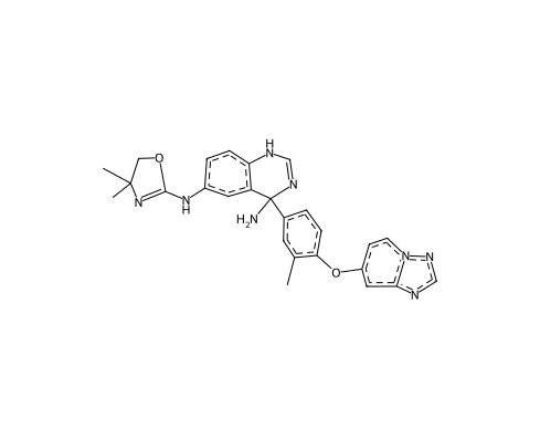 Cc1cc(C2(N)N=CNc3ccc(NC4=NC(C)(C)CO4)cc32)ccc1Oc1ccn2ncnc2c1